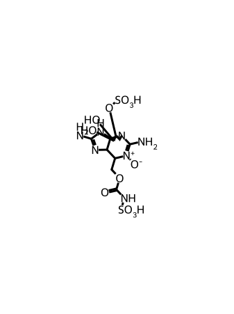 NC1=NC2C(COC(=O)NS(=O)(=O)O)[N+]([O-])=C(N)N3CC(OS(=O)(=O)O)C(O)(O)C23N1